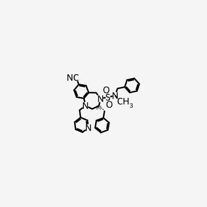 CN(Cc1ccccc1)S(=O)(=O)N1Cc2cc(C#N)ccc2N(Cc2cccnc2)C[C@H]1Cc1ccccc1